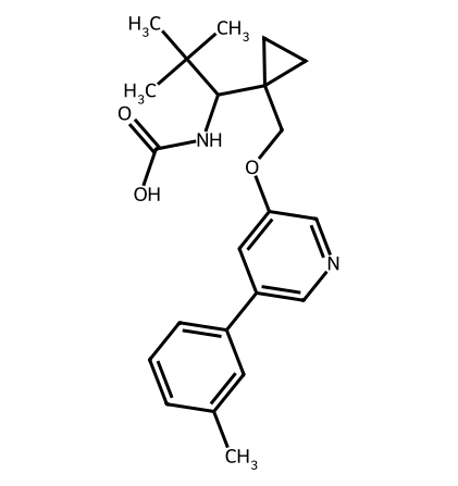 Cc1cccc(-c2cncc(OCC3(C(NC(=O)O)C(C)(C)C)CC3)c2)c1